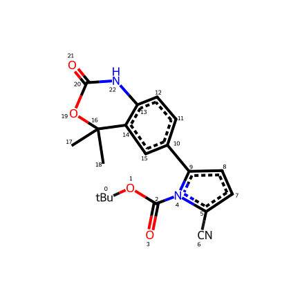 CC(C)(C)OC(=O)n1c(C#N)ccc1-c1ccc2c(c1)C(C)(C)OC(=O)N2